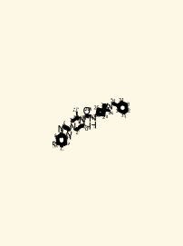 C[C@@H]1CN(c2cnc3cc(F)ccc3n2)C[C@@H](C)N1C(=O)NC1CC2(C1)CN(Cc1ccccc1)C2